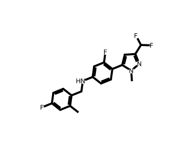 Cc1cc(F)ccc1CNc1ccc(-c2cc(C(F)F)nn2C)c(F)c1